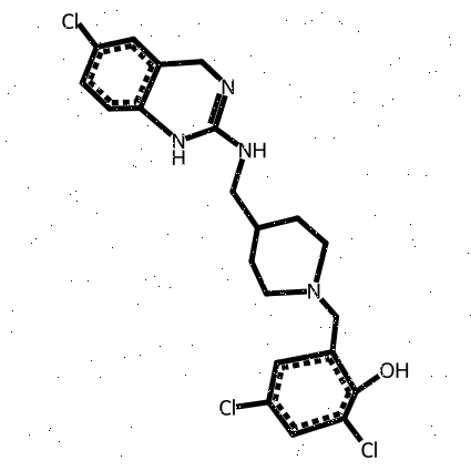 Oc1c(Cl)cc(Cl)cc1CN1CCC(CNC2=NCc3cc(Cl)ccc3N2)CC1